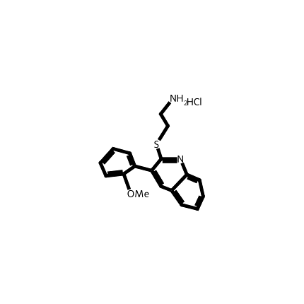 COc1ccccc1-c1cc2ccccc2nc1SCCN.Cl